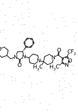 Cc1noc(C(F)(F)F)c1C(=O)N1CCC(C)(N2CCC(N3C(=O)N(CC4CCOCC4)C[C@H]3c3ccccc3)CC2)CC1